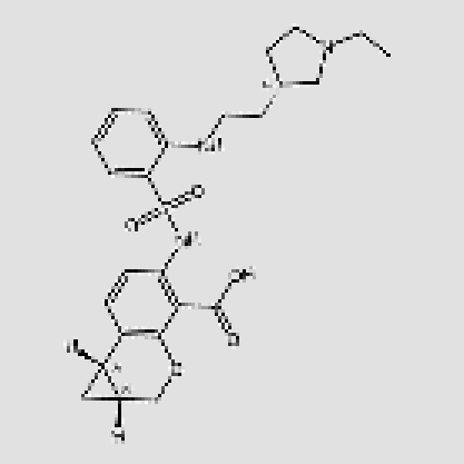 CCN1CC[C@@H](CCNc2ccccc2S(=O)(=O)Nc2ccc3c(c2C(=O)O)OC[C@@H]2C[C@H]32)C1